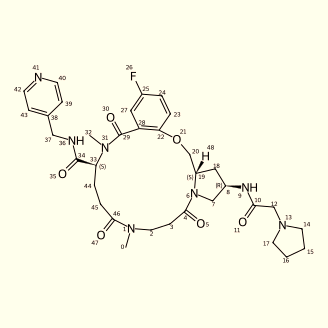 CN1CCC(=O)N2C[C@H](NC(=O)CN3CCCC3)C[C@H]2COc2ccc(F)cc2C(=O)N(C)[C@H](C(=O)NCc2ccncc2)CCC1=O